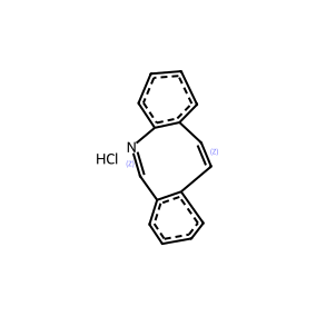 C1=C\c2ccccc2/N=C\c2ccccc2/1.Cl